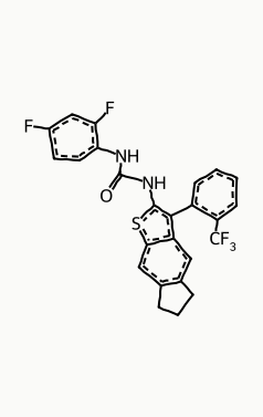 O=C(Nc1ccc(F)cc1F)Nc1sc2cc3c(cc2c1-c1ccccc1C(F)(F)F)CCC3